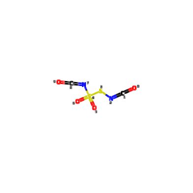 O=C=NSS(=O)(=O)N=C=O